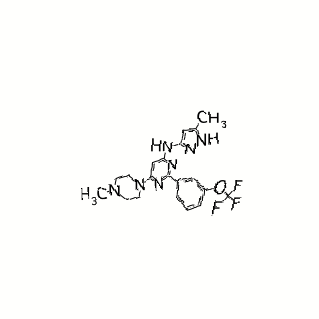 Cc1cc(Nc2cc(N3CCN(C)CC3)nc(-c3cccc(OC(F)(F)F)c3)n2)n[nH]1